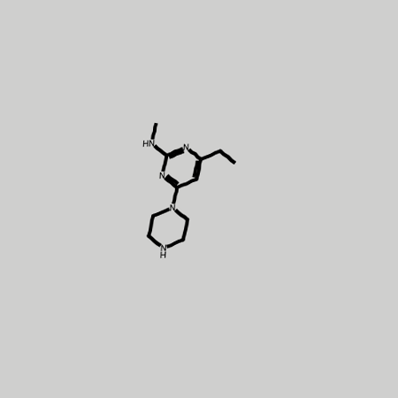 CCc1cc(N2CCNCC2)nc(NC)n1